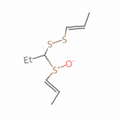 CC=C[S+]([O-])C(CC)SS/C=C/C